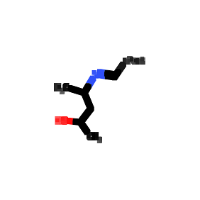 CCCCCC=NC(C)CC(C)O